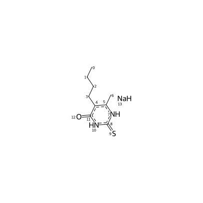 CCCCc1c(C)[nH]c(=S)[nH]c1=O.[NaH]